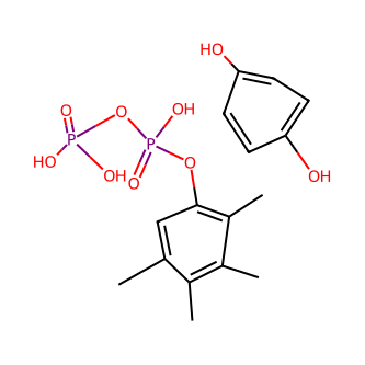 Cc1cc(OP(=O)(O)OP(=O)(O)O)c(C)c(C)c1C.Oc1ccc(O)cc1